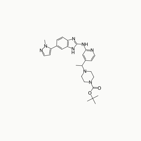 CC(c1ccnc(Nc2nc3ccc(-c4ccnn4C)cc3[nH]2)c1)N1CCN(C(=O)OC(C)(C)C)CC1